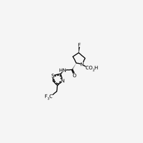 O=C(Nc1nc(CC(F)(F)F)cs1)[C@@H]1C[C@@H](F)CN1C(=O)O